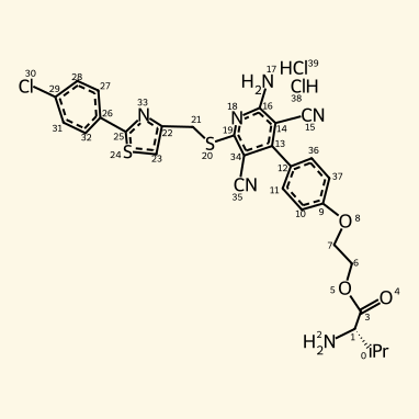 CC(C)[C@H](N)C(=O)OCCOc1ccc(-c2c(C#N)c(N)nc(SCc3csc(-c4ccc(Cl)cc4)n3)c2C#N)cc1.Cl.Cl